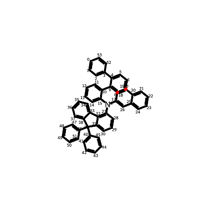 c1ccc(-c2ccccc2-c2ccccc2N(c2ccc3ccccc3c2)c2cccc3c2-c2ccccc2C3(c2ccccc2)c2ccccc2)cc1